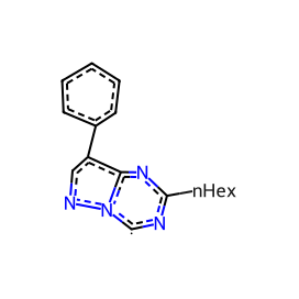 CCCCCCc1n[c]n2ncc(-c3ccccc3)c2n1